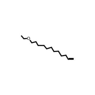 C=CCCCCCCCCCCOCC